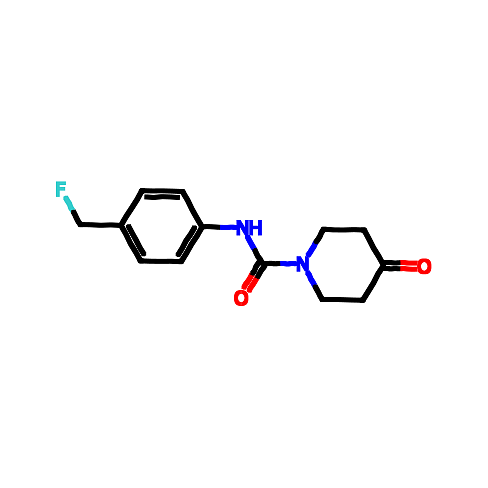 O=C1CCN(C(=O)Nc2ccc(CF)cc2)CC1